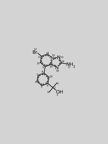 CC(C)(O)c1cccc(-c2cc(Br)cn3nc(N)nc23)c1